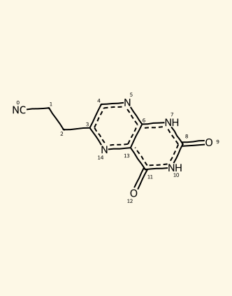 N#CCCc1cnc2[nH]c(=O)[nH]c(=O)c2n1